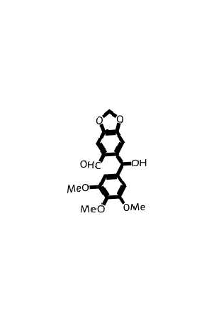 COc1cc(C(O)c2cc3c(cc2C=O)OCO3)cc(OC)c1OC